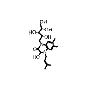 CC(C)=CCN1c2cc(C)c(C)cc2N(C[C@H](O)[C@H](O)[C@H](O)CO)C(=O)C1O